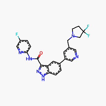 O=C(Nc1ccc(F)cn1)c1n[nH]c2ccc(-c3cncc(CN4CCC(F)(F)C4)c3)cc12